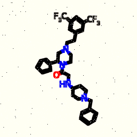 O=C(CNC1CCN(Cc2ccccc2)CC1)N1CCN(CCc2cc(C(F)(F)F)cc(C(F)(F)F)c2)CC1c1ccccc1